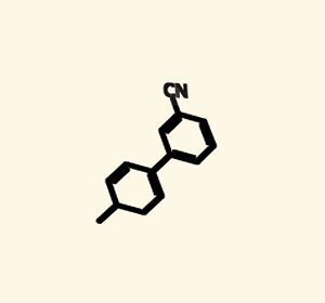 CC1C=CC(c2cccc(C#N)c2)=CC1